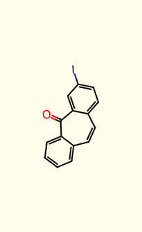 O=c1c2ccccc2ccc2ccc(I)cc12